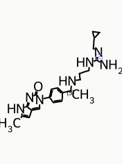 Cc1cc2cn(-c3ccc([C@H](C)NCCCN/C(N)=N\CC4CC4)cc3)c(=O)nc2[nH]1